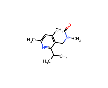 Cc1cc(C)c(CN(C)C=O)c(C(C)C)n1